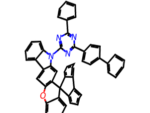 c1ccc(-c2ccc(-c3nc(-c4ccccc4)nc(-n4c5ccccc5c5cc6c(cc54)C4(c5ccccc5O6)c5ccccc5-c5ccccc54)n3)cc2)cc1